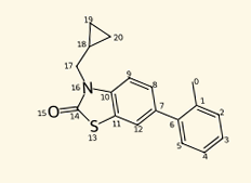 Cc1ccccc1-c1ccc2c(c1)sc(=O)n2CC1CC1